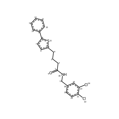 O=C(CCCc1ccc(-c2ccccc2)s1)NCc1ccc(Cl)c(Cl)c1